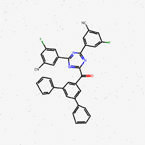 [C-]#[N+]c1cc(F)cc(-c2nc(C(=O)c3cc(-c4ccccc4)cc(-c4ccccc4)c3)nc(-c3cc(F)cc(C#N)c3)n2)c1